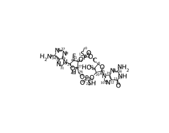 CSP1(=O)OCC2O[C@@H](n3cnc4c(=O)[nH]c(N)nc43)C(OP(=O)(S)OC[C@H]3OC(n4cnc5c(N)ncnc54)C(F)C3O1)C2O